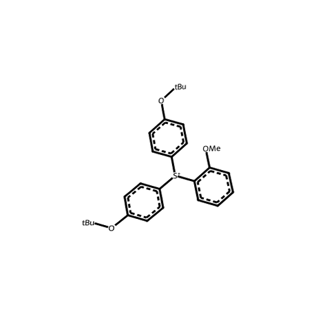 COc1ccccc1[S+](c1ccc(OC(C)(C)C)cc1)c1ccc(OC(C)(C)C)cc1